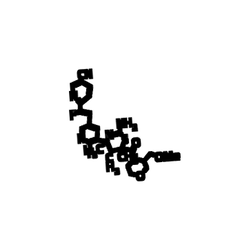 COC[C@H]1COCCN1C(=O)[C@@]1(C)SC(N)=N[C@](C)(c2cc(/C=C(\F)c3ccc(C#N)cn3)cnc2F)[C@@H]1C